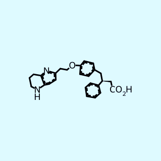 O=C(O)C[C@H](Cc1ccc(OCCc2ccc3c(n2)CCCN3)cc1)c1ccccc1